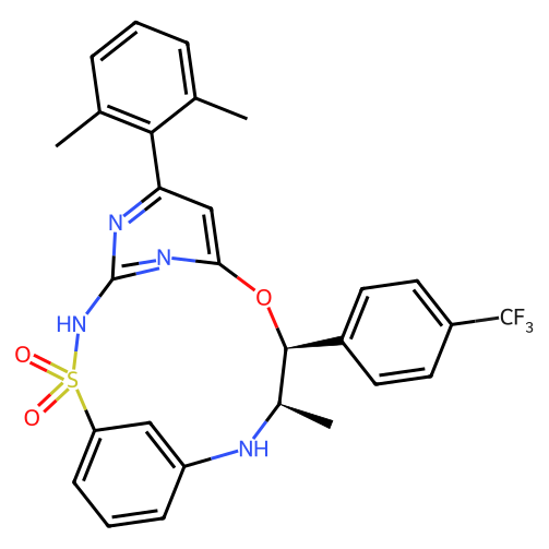 Cc1cccc(C)c1-c1cc2nc(n1)NS(=O)(=O)c1cccc(c1)N[C@H](C)[C@H](c1ccc(C(F)(F)F)cc1)O2